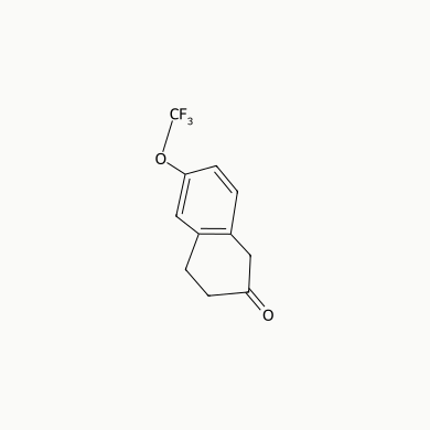 O=C1CCc2cc(OC(F)(F)F)ccc2C1